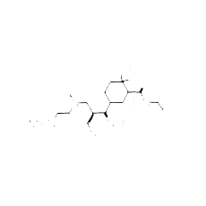 CNCCN(C)C/C(=C/N)C(=N)C1CCC(C)(C)C(C(=O)NCC(C)C)C1